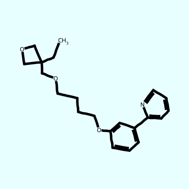 CCC1(COCCCCOc2cccc(-c3ccccn3)c2)COC1